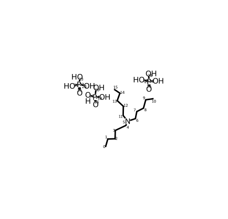 CCCCCN(CCCCC)CCCCC.O=P(O)(O)O.O=P(O)(O)O.O=P(O)(O)O